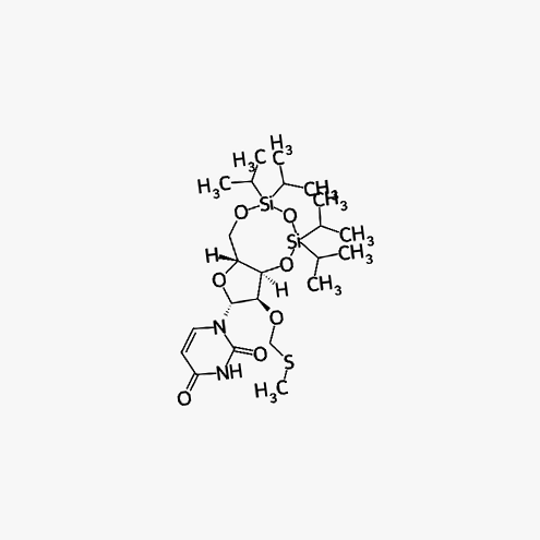 CSCO[C@@H]1[C@@H]2O[Si](C(C)C)(C(C)C)O[Si](C(C)C)(C(C)C)OC[C@H]2O[C@H]1n1ccc(=O)[nH]c1=O